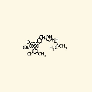 Cc1cc(Cl)cc(S(=O)(=O)N(CC(=O)OC(C)(C)C)c2ccc3c(ccn3-c3ccc(NCCN(C)C)nn3)c2)c1